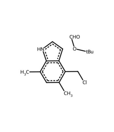 CC(C)(C)OC=O.Cc1cc(C)c2[nH]ccc2c1CCl